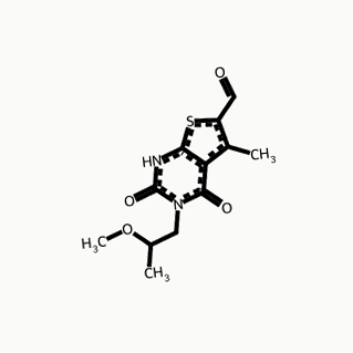 COC(C)Cn1c(=O)[nH]c2sc(C=O)c(C)c2c1=O